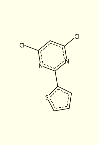 Clc1cc(Cl)nc(-c2cccs2)n1